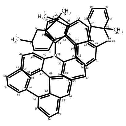 CC1C=CC2=C(C1)C(C)(C)c1cccc(-c3ccccc3N(c3ccccc3-c3cccc4c3C3C=CC=CC3(C)O4)c3ccccc3-c3cccc4cccc(-c5ccccc5)c34)c12